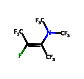 F/C(=C(/N(C(F)(F)F)C(F)(F)F)C(F)(F)F)C(F)(F)F